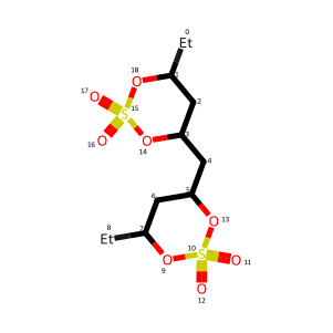 CCC1CC(CC2CC(CC)OS(=O)(=O)O2)OS(=O)(=O)O1